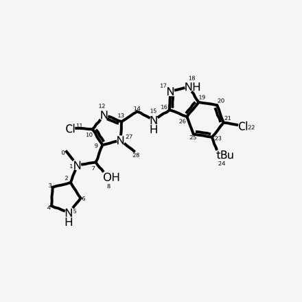 CN(C1CCNC1)C(O)c1c(Cl)nc(CNc2n[nH]c3cc(Cl)c(C(C)(C)C)cc23)n1C